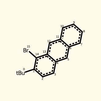 CC(C)(C)c1ccc2cc3ccccc3cc2c1Br